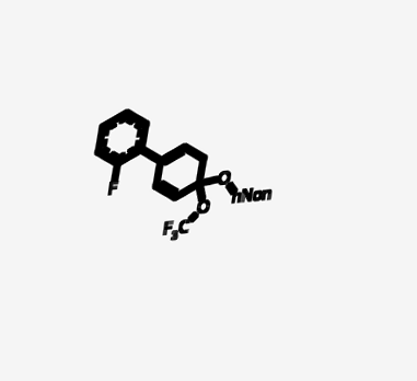 CCCCCCCCCOC1(OC(F)(F)F)C=CC(c2ccccc2F)=CC1